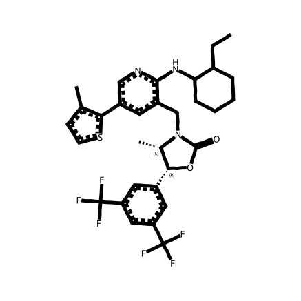 CCC1CCCCC1Nc1ncc(-c2sccc2C)cc1CN1C(=O)O[C@H](c2cc(C(F)(F)F)cc(C(F)(F)F)c2)[C@@H]1C